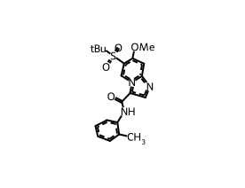 COc1cc2ncc(C(=O)Nc3ccccc3C)n2cc1S(=O)(=O)C(C)(C)C